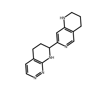 c1cc2c(nn1)NC(c1cc3c(cn1)CCCN3)CC2